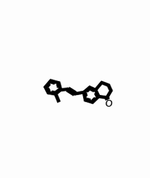 Cc1ccccc1C#Cc1ccc2c(c1)CCCC2=O